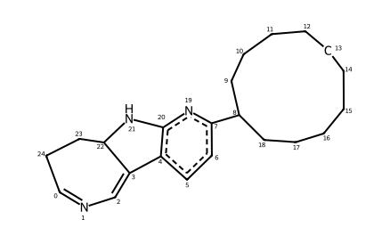 C1=NC=C2c3ccc(C4CCCCCCCCCC4)nc3NC2CC1